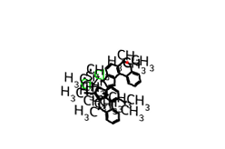 CC(C)c1ccccc1-c1c(C(C)C)ccc2c1C=C(C(C)(C)C)[CH]2[Zr]([Cl])([Cl])([CH]1C(C(C)(C)C)=Cc2c1ccc(C(C)C)c2-c1ccccc1C(C)C)[SiH](C)C